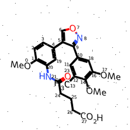 COc1ccc(-c2conc2-c2cc(C)c(OC)c(OC)c2)cc1NC(=O)CCCC(=O)O